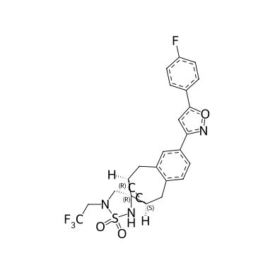 O=S1(=O)N[C@@]2(CN1CC(F)(F)F)[C@@H]1CC[C@H]2Cc2ccc(-c3cc(-c4ccc(F)cc4)on3)cc2C1